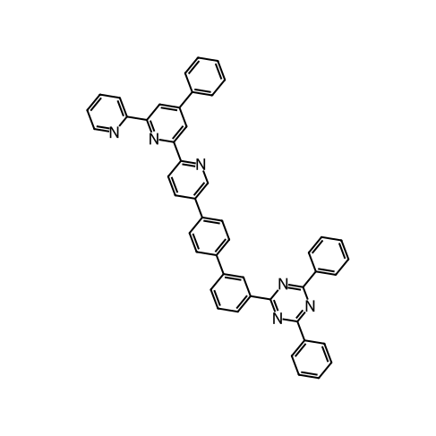 c1ccc(-c2cc(-c3ccccn3)nc(-c3ccc(-c4ccc(-c5cccc(-c6nc(-c7ccccc7)nc(-c7ccccc7)n6)c5)cc4)cn3)c2)cc1